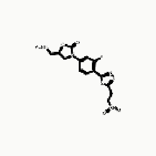 CC(=O)NCC1CN(c2ccc(-c3nnc(CC[SH](=O)=O)s3)c(F)c2)C(=O)O1